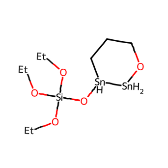 CCO[Si](OCC)(OCC)[O][SnH]1[CH2]CC[O][SnH2]1